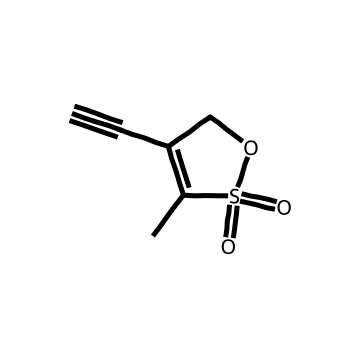 C#CC1=C(C)S(=O)(=O)OC1